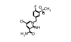 CS(=O)(=O)c1cc(Cn2cc(Cl)cc(C(N)=O)c2=N)ccc1F